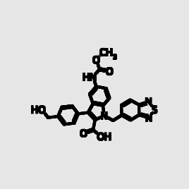 COC(=O)Nc1ccc2c(c1)c(-c1ccc(CO)cc1)c(C(=O)O)n2Cc1ccc2nsnc2c1